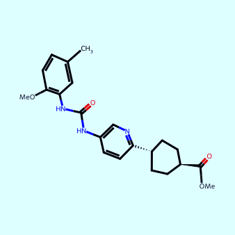 COc1ccc(C)cc1NC(=O)Nc1ccc([C@H]2CC[C@H](C(=O)OC)CC2)nc1